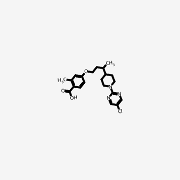 Cc1cc(OCCC(C)C2CCN(c3ncc(Cl)cn3)CC2)ccc1C(=O)O